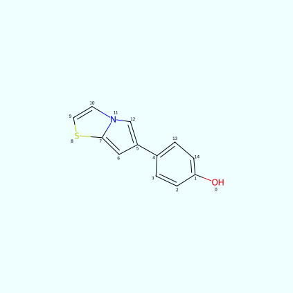 Oc1ccc(-c2cc3sccn3c2)cc1